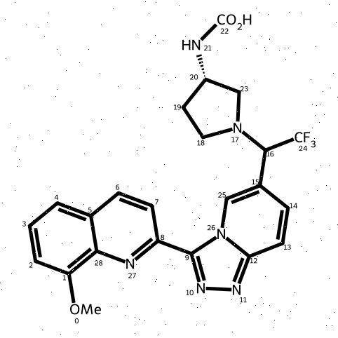 COc1cccc2ccc(-c3nnc4ccc(C(N5CC[C@H](NC(=O)O)C5)C(F)(F)F)cn34)nc12